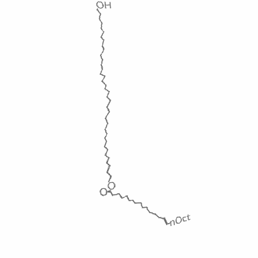 CCCCCCCCC=CCCCCCCCCCCCCCC(=O)OCCCCCCCCCCCCCCCCCCCCCCCCCCCCCCCCCCCCCCCO